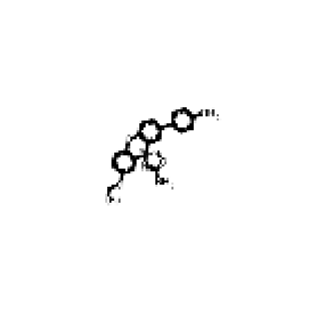 CC(C)(C)COc1ccc2c(c1)[C@@]1(COC(N)=N1)c1cc(-c3ccc(N)cc3)ccc1O2